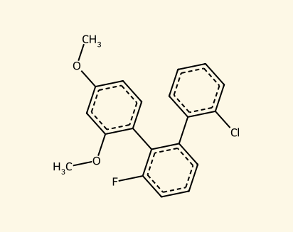 COc1ccc(-c2c(F)cccc2-c2ccccc2Cl)c(OC)c1